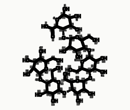 O=C(O)C1O[C@@H](O)C(O)[C@@H](O)[C@@H]1O[C@@H]1OC(CO)[C@@H](O[C@@H]2OC(CO)[C@@H](O[C@@H]3OC(CO)[C@@H](O[C@@H]4OC(CO)[C@H](O[C@@H]5OC(CO)[C@H](O)[C@H](O)C5O)[C@H](O)C4O)[C@H](O)C3O)[C@H](O)C2O)[C@H](O)C1O